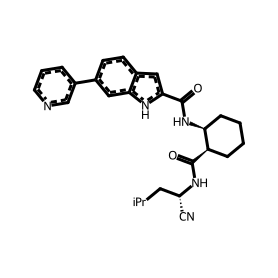 CC(C)C[C@@H](C#N)NC(=O)[C@@H]1CCCC[C@@H]1NC(=O)c1cc2ccc(-c3cccnc3)cc2[nH]1